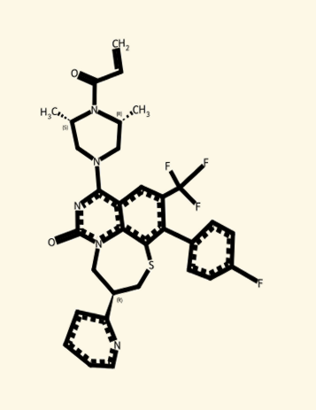 C=CC(=O)N1[C@H](C)CN(c2nc(=O)n3c4c(c(-c5ccc(F)cc5)c(C(F)(F)F)cc24)SC[C@@H](c2ccccn2)C3)C[C@@H]1C